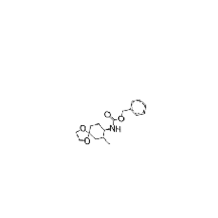 CC1CC2(CC[C@H]1NC(=O)OCc1ccccc1)OCCO2